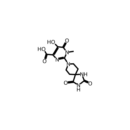 Cn1c(N2CCC3(CC2)NC(=O)NC3=O)nc(C(=O)O)c(O)c1=O